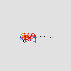 CCCCCCCCCCCCCCCCNC(=O)OCC(COP(O)Oc1ccccc1CN1C=CSC1)OCC